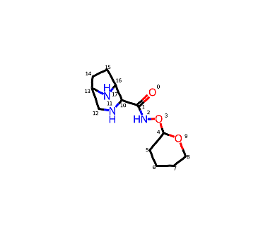 O=C(NOC1CCCCO1)C1NCC2CCC1N2